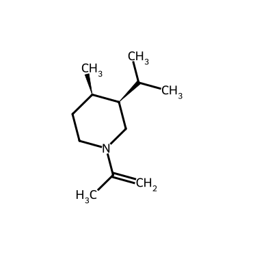 C=C(C)N1CC[C@@H](C)[C@@H](C(C)C)C1